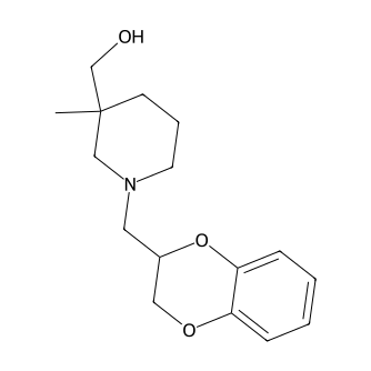 CC1(CO)CCCN(CC2COc3ccccc3O2)C1